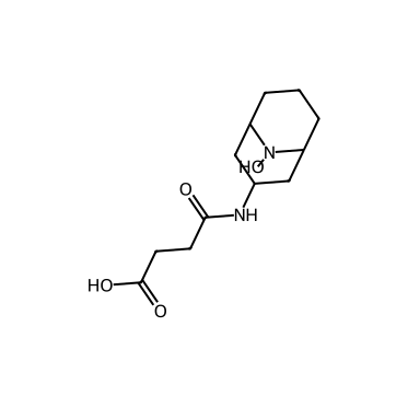 O=C(O)CCC(=O)NC1CC2CCCC(C1)N2O